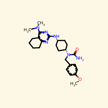 COc1ccc(CN(C(N)=O)[C@H]2CC[C@@H](Nc3nc4c(c(N(C)C)n3)CCCC4)CC2)cc1